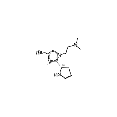 CN(C)CCn1cc(C(C)(C)C)nc1[C@@H]1CCCN1